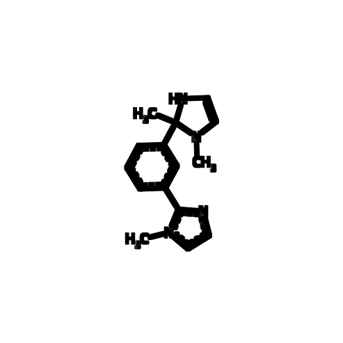 CN1C=CNC1(C)c1cccc(-c2nccn2C)c1